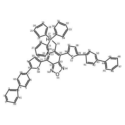 c1ccc(-c2ccc(-c3ccc(-c4nc(C[PH](c5ccccc5)(c5ccccc5)c5ccccc5)c(-c5ccc(-c6ccc(-c7ccccc7)cc6)s5)c5nonc45)s3)cc2)cc1